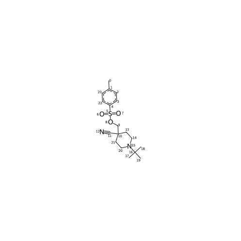 Cc1ccc(S(=O)(=O)OCC2(C#N)CCN(C(C)(C)C)CC2)cc1